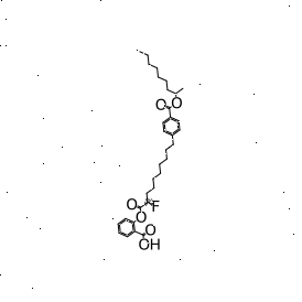 CCCCCCCC(C)OC(=O)c1ccc(CCCCCCCC[C@@H](F)C(=O)Oc2ccccc2C(=O)O)cc1